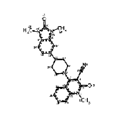 Cn1c(=O)c(C#N)c(N2CCC(c3ccc4c(c3)n(C)c(=O)n4C)CC2)c2ccccc21